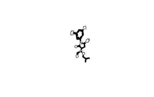 CC(C)CON(C=O)C1CC(=O)N(c2cc(Cl)cc(Cl)c2)C1=O